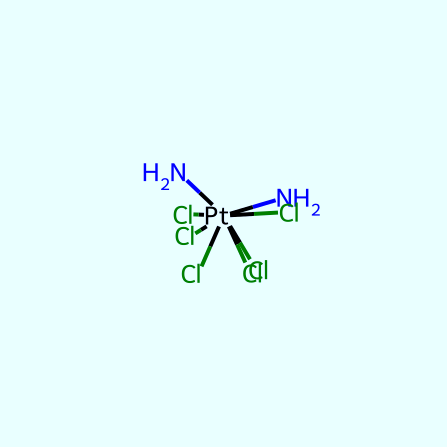 [NH2][Pt]([NH2])([Cl])([Cl])([Cl])([Cl])([Cl])[Cl]